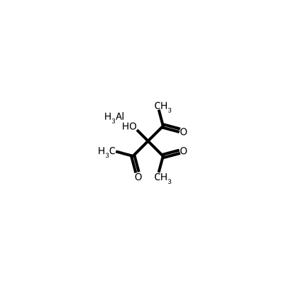 CC(=O)C(O)(C(C)=O)C(C)=O.[AlH3]